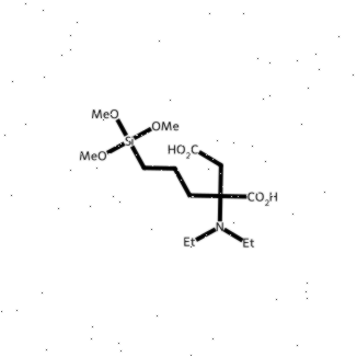 CCN(CC)C(CCC[Si](OC)(OC)OC)(CC(=O)O)C(=O)O